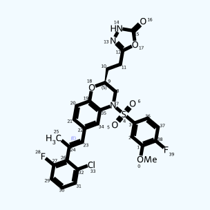 COc1cc(S(=O)(=O)N2C[C@H](CCc3n[nH]c(=O)o3)Oc3ccc(/C=C(\C)c4c(F)cccc4Cl)cc32)ccc1F